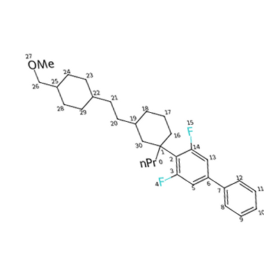 CCCC1(c2c(F)cc(-c3ccccc3)cc2F)CCCC(CCC2CCC(COC)CC2)C1